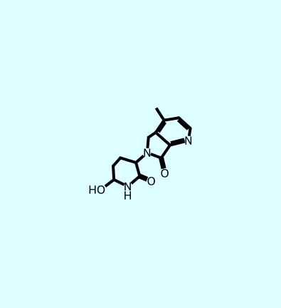 Cc1ccnc2c1CN(C1CCC(O)NC1=O)C2=O